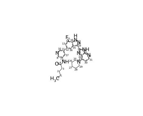 CCCCC(=O)Nc1cncc(-c2cc(F)c3[nH]nc(-c4nc5c(N6CCCCC6)ccnc5[nH]4)c3c2)c1